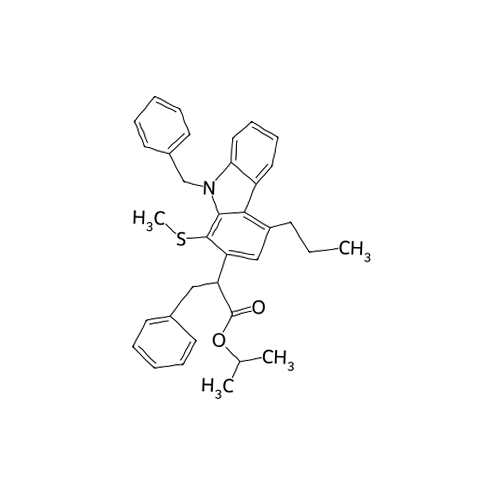 CCCc1cc(C(Cc2ccccc2)C(=O)OC(C)C)c(SC)c2c1c1ccccc1n2Cc1ccccc1